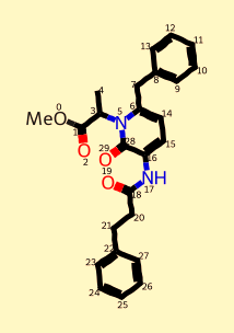 COC(=O)C(C)n1c(Cc2ccccc2)ccc(NC(=O)CCc2ccccc2)c1=O